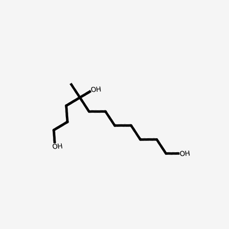 CC(O)(CCCO)CCCCCCCO